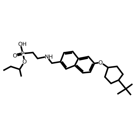 CCC(C)OP(=O)(O)CCNCc1ccc2cc(OC3CCC(C(C)(C)C)CC3)ccc2c1